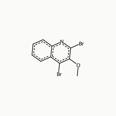 COc1c(Br)nc2ccccc2c1Br